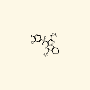 CSc1nn2c3c(c(C)nc2c1S(=O)(=O)c1ccc(F)c(Cl)c1)CCCC3